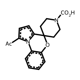 CC(=O)c1ccc2n1-c1ccccc1OC21CCN(C(=O)O)CC1